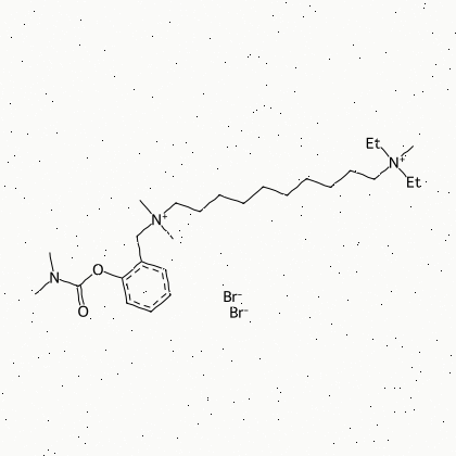 CC[N+](C)(CC)CCCCCCCCCC[N+](C)(C)Cc1ccccc1OC(=O)N(C)C.[Br-].[Br-]